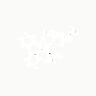 C=C(C)c1c(C/C(C)=C\C(I)=C/C)sc(-c2ccccc2)c1-c1ccccc1